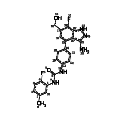 Cc1ccc(F)c(NC(=O)Nc2ccc(-c3cc(CO)c(F)c4[nH]nc(N)c34)cc2)c1